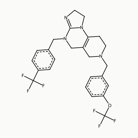 FC(F)(F)Oc1cccc(CN2CCC3=C(C2)CN(Cc2ccc(C(F)(F)F)cc2)C2=NCCN23)c1